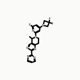 CC1c2cnc(-c3ncccn3)nc2CCN1c1cc(N2CC(F)(F)C2)cc(F)n1